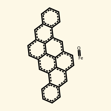 [O]=[Fe].c1ccc2c(c1)cc1ccc3cc4c5ccccc5cc5ccc6cc2c1c3c6c54